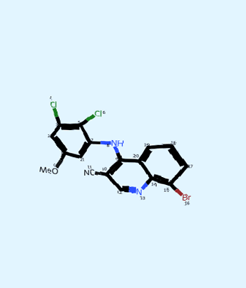 COc1cc(Cl)c(Cl)c(Nc2c(C#N)cnc3c(Br)cccc23)c1